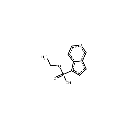 CCOP(=O)(O)c1ccc2coccc1-2